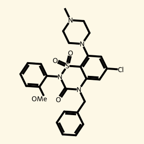 COc1ccccc1N1C(=O)N(Cc2ccccc2)c2cc(Cl)cc(N3CCN(C)CC3)c2S1(=O)=O